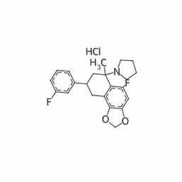 CC1(N2CCCC2)CC(c2cccc(F)c2)Cc2c3c(cc(F)c21)OCO3.Cl